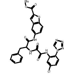 CC(C)(C)OC(=O)c1cc2cc(NC(=O)C(Cc3ccccc3)NC(=O)C(=O)Nc3cc(Cl)ccc3-n3cnnn3)ccc2o1